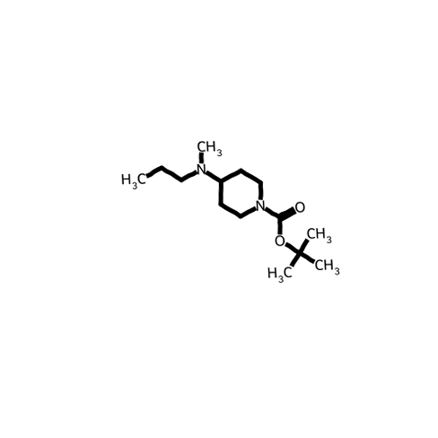 CCCN(C)C1CCN(C(=O)OC(C)(C)C)CC1